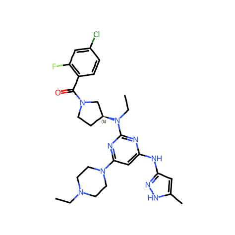 CCN1CCN(c2cc(Nc3cc(C)[nH]n3)nc(N(CC)[C@H]3CCN(C(=O)c4ccc(Cl)cc4F)C3)n2)CC1